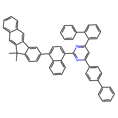 CC1(C)c2ccc(-c3ccc(-c4nc(-c5ccc(-c6ccccc6)cc5)cc(-c5ccccc5-c5ccccc5)n4)c4ccccc34)cc2-c2cc3ccccc3cc21